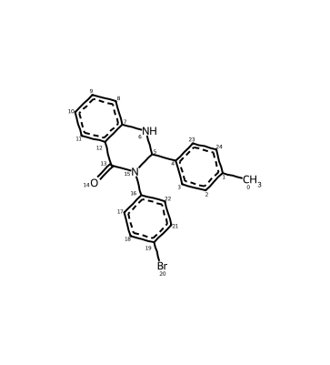 Cc1ccc(C2Nc3ccccc3C(=O)N2c2ccc(Br)cc2)cc1